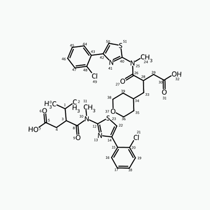 CC(C)C(CC(=O)O)C(=O)N(C)c1nc(-c2ccccc2Cl)cs1.CN(C(=O)C(CC(=O)O)CC1CCOCC1)c1nc(-c2ccccc2Cl)cs1